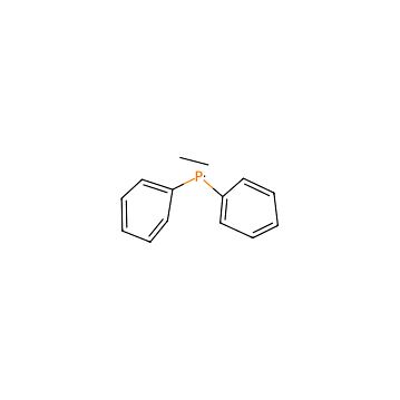 CC.c1ccc([P]c2ccccc2)cc1